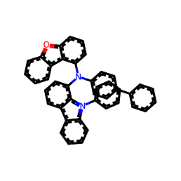 c1ccc(-c2ccc(N(c3cccc4oc5ccccc5c34)c3cccc4c5ccccc5n(-c5ccccc5)c34)cc2)cc1